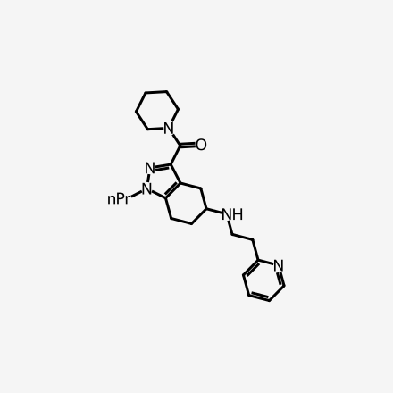 CCCn1nc(C(=O)N2CCCCC2)c2c1CCC(NCCc1ccccn1)C2